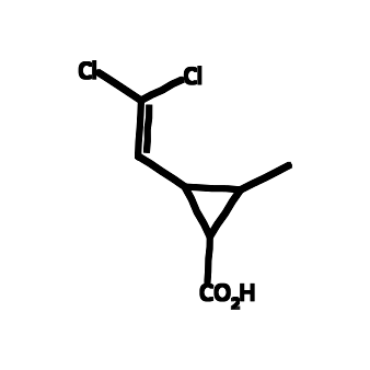 CC1C(C=C(Cl)Cl)C1C(=O)O